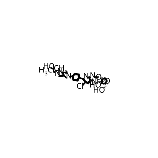 CC(C)(O)Cn1cc2c(n1)CN(c1ccc(-c3nc4nc(O[C@@H]5CO[C@H](CO)[C@H]5O)[nH]c4cc3Cl)cc1)C2